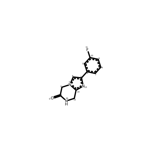 O=C1Cn2cc(-c3cccc(F)c3)nc2CN1